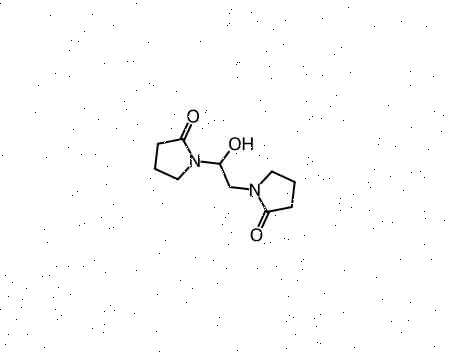 O=C1CCCN1CC(O)N1CCCC1=O